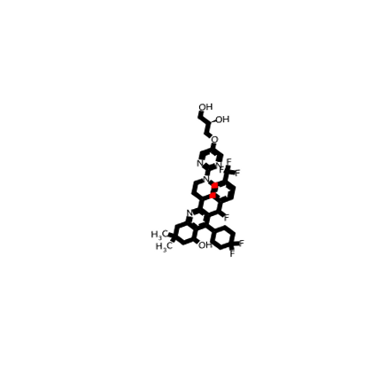 CC1(C)Cc2nc(C3CCN(c4ncc(OC[C@@H](O)CO)cn4)CC3)c(C(F)c3ccc(C(F)(F)F)cc3)c(C3CCC(F)(F)CC3)c2C(O)C1